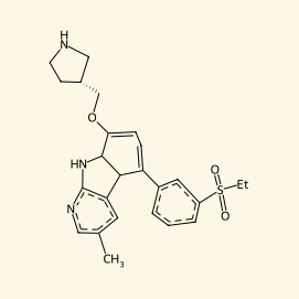 CCS(=O)(=O)c1cccc(C2=CC=C(OC[C@@H]3CCNC3)C3Nc4ncc(C)cc4C23)c1